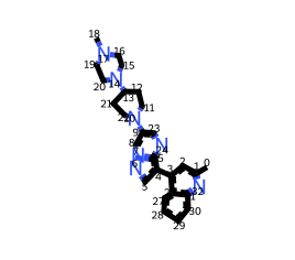 Cc1cc(-c2cnn3cc(N4CCC(N5CCN(C)CC5)CC4)cnc23)c2ccccc2n1